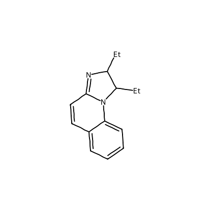 CCC1N=C2C=Cc3ccccc3N2C1CC